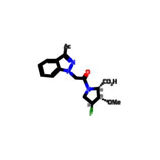 CO[C@H]1[C@@H](C(=O)O)N(C(=O)Cn2nc(C(C)=O)c3ccccc32)C[C@@H]1F